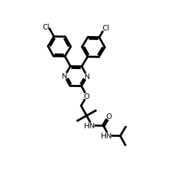 CC(C)NC(=O)NC(C)(C)COc1cnc(-c2ccc(Cl)cc2)c(-c2ccc(Cl)cc2)n1